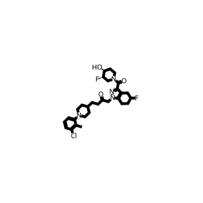 Cc1c(Cl)cccc1N1CCC(CCC(=O)Cn2nc(C(=O)N3CC[C@@H](O)[C@@H](F)C3)c3c2CCC(F)C3)CC1